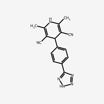 CC1=C(C#N)C(c2ccc(-c3nn[nH]n3)cc2)C(C#N)=C(C)N1